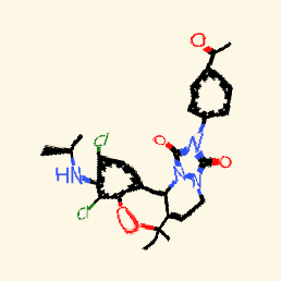 CC(=O)c1ccc(-n2c(=O)n3n(c2=O)C2C(=CC3)C(C)(C)Oc3c2cc(Cl)c(NC(C)C)c3Cl)cc1